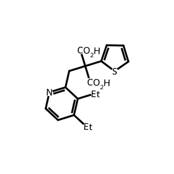 CCc1ccnc(CC(C(=O)O)(C(=O)O)c2cccs2)c1CC